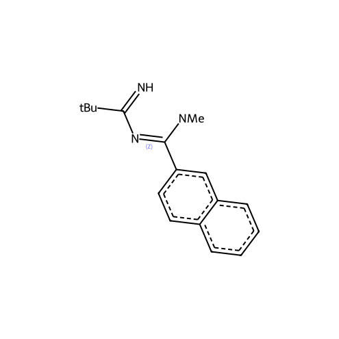 CN/C(=N\C(=N)C(C)(C)C)c1ccc2ccccc2c1